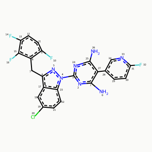 Nc1nc(-n2nc(Cc3c(F)ccc(F)c3F)c3cc(Cl)ccc32)nc(N)c1-c1ccc(F)nc1